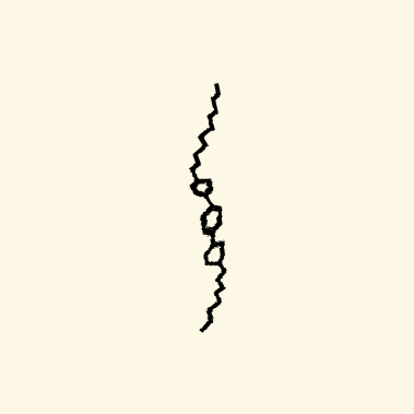 CCCCCCCCCCCc1ccc(-c2ccc(C3CCC(CCCCCCCC)CC3)cc2)cc1